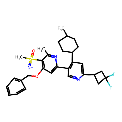 Cc1nc(-c2cnc(C3CC(F)(F)C3)cc2C2CCC(C(F)(F)F)CC2)cc(OCc2ccccc2)c1S(C)(=N)=O